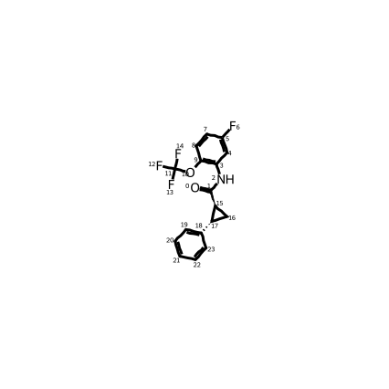 O=C(Nc1cc(F)ccc1OC(F)(F)F)[C@H]1C[C@@H]1c1ccccc1